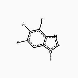 Cn1[c]nc2c(F)c(F)c(F)cc21